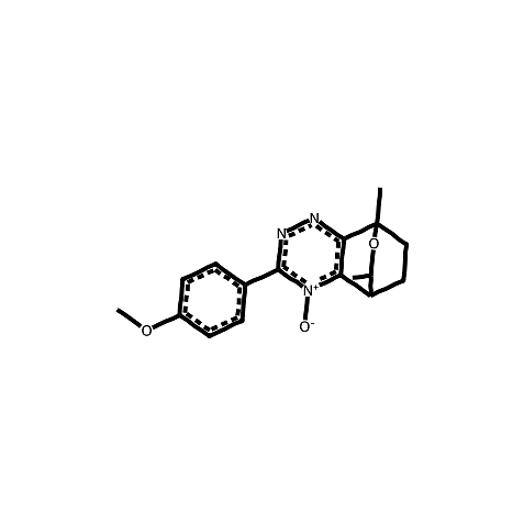 COc1ccc(-c2nnc3c([n+]2[O-])C2CCC3(C)OC2C)cc1